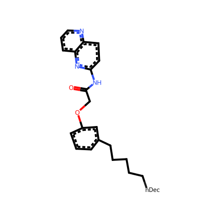 CCCCCCCCCCCCCCCc1cccc(OCC(=O)Nc2ccc3ncccc3n2)c1